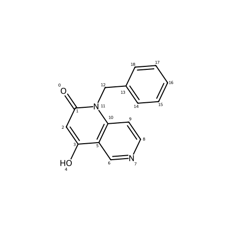 O=c1cc(O)c2cnccc2n1Cc1ccccc1